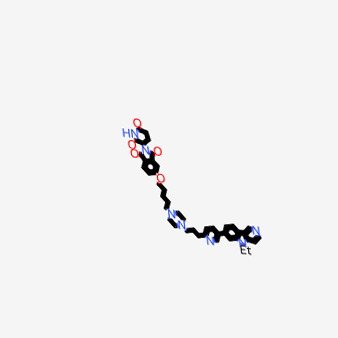 CCn1c2ccncc2c2ccc(-c3ccc(CCCN4CCN(CCCCCOc5ccc6c(c5)C(=O)N(C5CCC(=O)NC5=O)C6=O)CC4)nc3)cc21